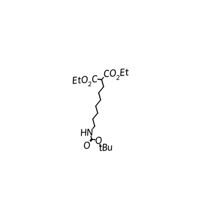 CCOC(=O)C(CCCCCCCNC(=O)OC(C)(C)C)C(=O)OCC